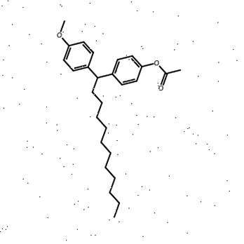 CCCCCCCCCCCC(c1ccc(OC)cc1)c1ccc(OC(C)=O)cc1